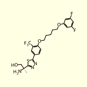 C[C@](N)(CO)c1nnc(-c2ccc(OCCCCCOc3cc(F)cc(F)c3)c(C(F)(F)F)c2)s1